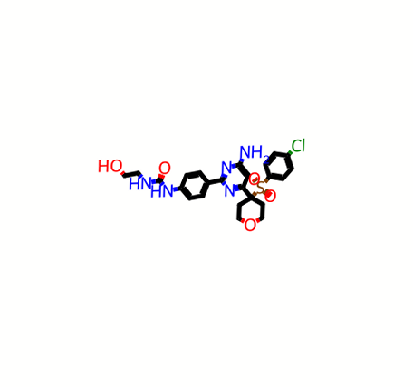 Nc1cc(C2(S(=O)(=O)c3ccc(Cl)cc3)CCOCC2)nc(-c2ccc(NC(=O)NCCO)cc2)n1